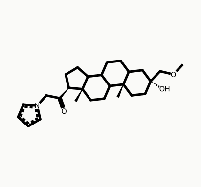 COC[C@@]1(O)CC[C@@]2(C)C(CCC3C2CC[C@@]2(C)C3CC[C@@H]2C(=O)Cn2cccc2)C1